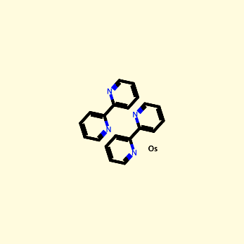 [Os].c1ccc(-c2ccccn2)nc1.c1ccc(-c2ccccn2)nc1